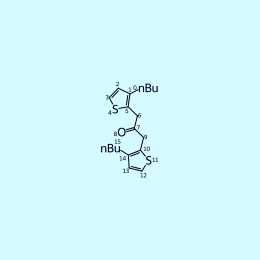 CCCCc1ccsc1CC(=O)Cc1sccc1CCCC